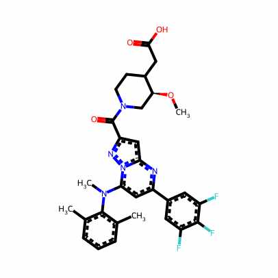 CO[C@H]1CN(C(=O)c2cc3nc(-c4cc(F)c(F)c(F)c4)cc(N(C)c4c(C)cccc4C)n3n2)CCC1CC(=O)O